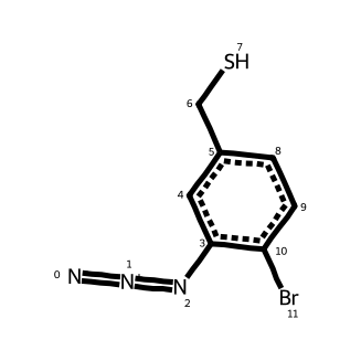 [N-]=[N+]=Nc1cc(CS)ccc1Br